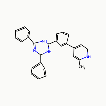 CC1=CC(c2cccc(C3NC(c4ccccc4)=NC(c4ccccc4)N3)c2)=CCN1